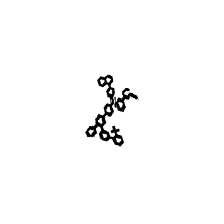 C=C/C=C(\C=C/C)c1cccc(N(c2ccc(-c3ccc(-c4ccccc4)c(-c4cccc(-c5ccccc5C(C)(C)C)c4)c3)cc2)c2ccc(-c3cccc4ccccc34)cc2)c1